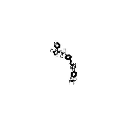 O=C(N=C1SCC(=O)N1c1cccnc1)Nc1ccc(CCc2ncn(-c3ccc(OC(F)(F)F)cc3)n2)cc1